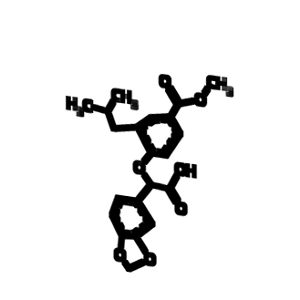 COC(=O)c1ccc(OC(C(=O)O)c2ccc3c(c2)OCO3)c(CC(C)C)c1